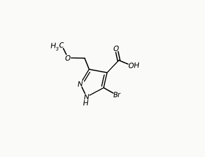 COCc1n[nH]c(Br)c1C(=O)O